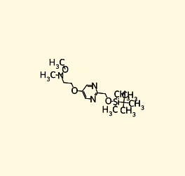 CON(C)CCOc1cnc(CO[Si](C)(C)C(C)(C)C)nc1